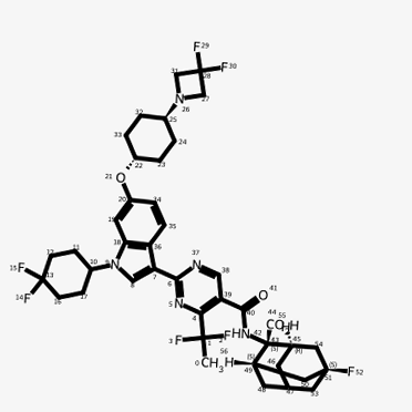 CC(F)(F)c1nc(-c2cn(C3CCC(F)(F)CC3)c3cc(O[C@H]4CC[C@H](N5CC(F)(F)C5)CC4)ccc23)ncc1C(=O)N[C@]1(C(=O)O)[C@@H]2CC3C[C@H]1C[C@@](F)(C3)C2